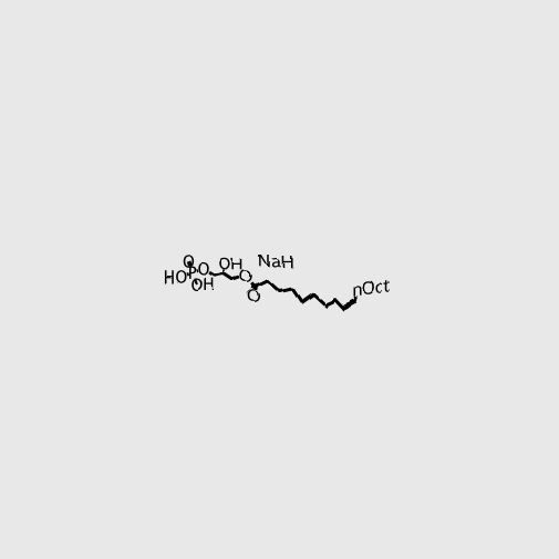 CCCCCCCC/C=C\CCCCCCCC(=O)OC[C@@H](O)COP(=O)(O)O.[NaH]